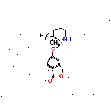 CC1(C)CCCN[C@H]1COc1ccc2c(c1)COC2=O